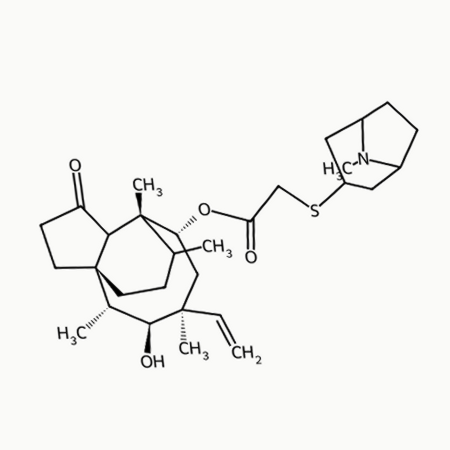 C=C[C@]1(C)C[C@@H](OC(=O)CSC2CC3CCC(C2)N3C)[C@]2(C)C(C)CC[C@]3(CCC(=O)C32)[C@@H](C)[C@@H]1O